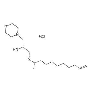 C=CCCCCCCCC(C)SCC(O)CN1CCOCC1.Cl